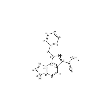 NC(=O)c1nn(Cc2ccccc2)c2c1ccc1[nH]ncc12